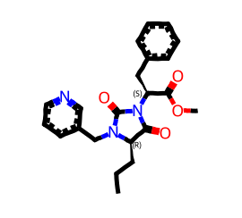 CCC[C@@H]1C(=O)N([C@@H](Cc2ccccc2)C(=O)OC)C(=O)N1Cc1cccnc1